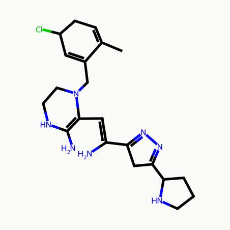 CC1=CCC(Cl)C=C1CN1CCNC(N)=C1/C=C(\N)C1=NN=C(C2CCCN2)C1